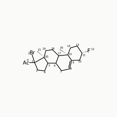 CC(=O)C1(Br)CCC2C3CC=C4C[C@@H](F)CC[C@]4(C)C3CC[C@@]21C